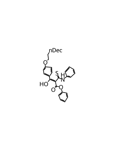 CCCCCCCCCCCCOc1ccc(/C(O)=C(/C(=O)Oc2ccccc2)C(=S)Nc2ccccc2)cc1